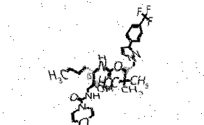 CCCC[C@H](NC(=O)O[C@H](Cn1ccc(-c2ccc(C(F)(F)F)cc2)n1)C(C)(C)C)[C@H](O)CNC(=O)N1CCOCC1